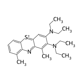 CCN(CC)c1cc2[s+]c3cccc(C)c3nc2c(C)c1N(CC)CC